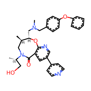 C[C@@H]1CN([C@@H](C)CO)C(=O)c2cc(-c3ccncc3)cnc2O[C@H]1CN(C)Cc1ccc(Oc2ccccc2)cc1